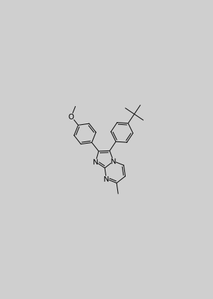 COc1ccc(-c2nc3nc(C)ccn3c2-c2ccc(C(C)(C)C)cc2)cc1